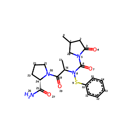 CC1CC(=O)N(C(=O)N(Sc2ccccc2)C(C)C(=O)N2CCC[C@H]2C(N)=O)C1